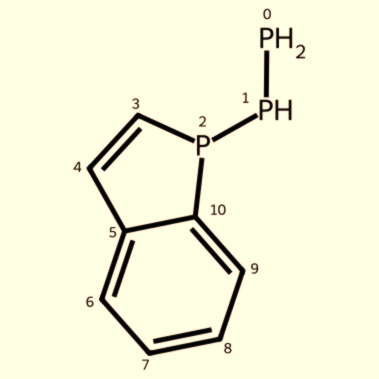 PPp1ccc2ccccc21